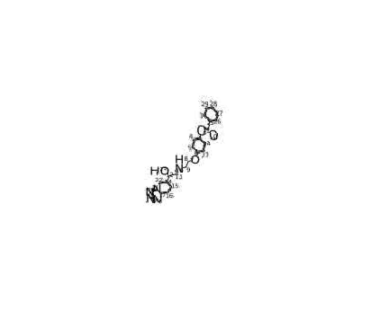 O=C(Oc1ccc(OCCNCC(O)c2ccc3nnnn3c2)cc1)c1ccccc1